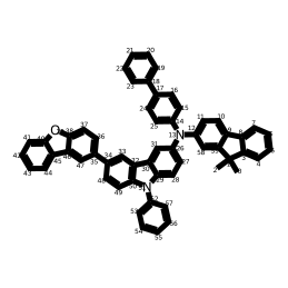 CC1(C)c2ccccc2-c2ccc(N(c3ccc(-c4ccccc4)cc3)c3ccc4c(c3)c3cc(-c5ccc6oc7ccccc7c6c5)ccc3n4-c3ccccc3)cc21